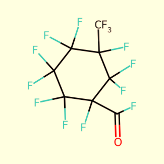 O=C(F)C1(F)C(F)(F)C(F)(F)C(F)(F)C(F)(C(F)(F)F)C1(F)F